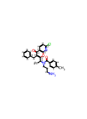 Cc1ccc(C(=O)N(CCCN)C(c2oc3nc(Cl)ccc3c(=O)c2Cc2ccccc2)C(C)C)cc1